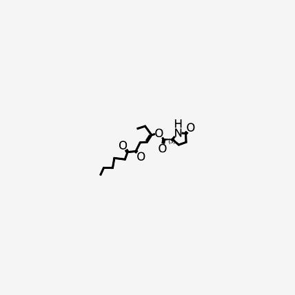 CCCCCC(=O)C(=O)CC=C(CC)OC(=O)[C@@H]1CCC(=O)N1